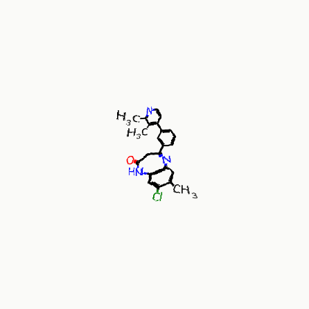 Cc1cc2c(cc1Cl)NC(=O)CC(c1cccc(-c3ccnc(C)c3C)c1)=N2